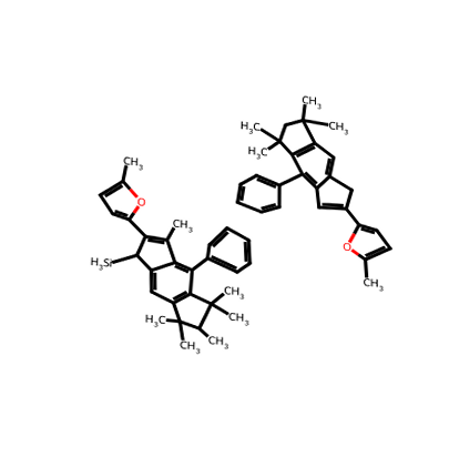 CC1=C(c2ccc(C)o2)C([SiH3])c2cc3c(c(-c4ccccc4)c21)C(C)(C)C(C)C3(C)C.Cc1ccc(C2=Cc3c(cc4c(c3-c3ccccc3)C(C)(C)CC4(C)C)C2)o1